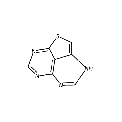 C1=Nc2ncnc3scc(c23)N1